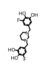 Oc1cc(CN2CCCN(Cc3cc(O)c(O)c(F)c3)C2)cc(F)c1O